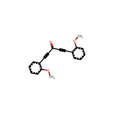 COc1ccccc1C#CC(=O)C#Cc1ccccc1OC